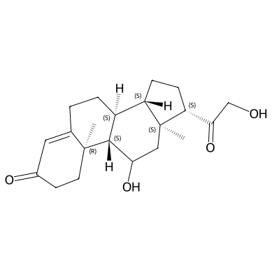 C[C@]12CC(O)[C@H]3[C@@H](CCC4=CC(=O)CC[C@@]43C)[C@@H]1CC[C@@H]2C(=O)CO